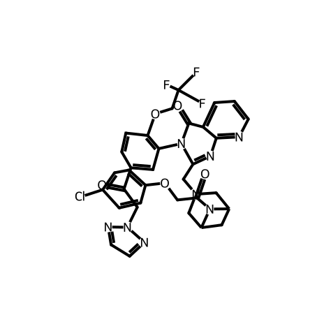 O=C(Cn1nccn1)c1ccc(OCC(F)(F)F)c(-n2c(CN3CC4CC(C3)N4C(=O)COc3ccc(Cl)cc3)nc3ncccc3c2=O)c1